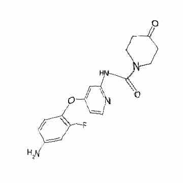 Nc1ccc(Oc2ccnc(NC(=O)N3CCC(=O)CC3)c2)c(F)c1